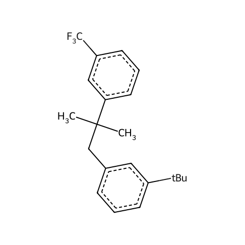 CC(C)(C)c1cccc(CC(C)(C)c2cccc(C(F)(F)F)c2)c1